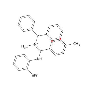 CCCc1ccccc1NC(c1ccc(C)cc1)=[N+](C)P(c1ccccc1)c1ccccc1